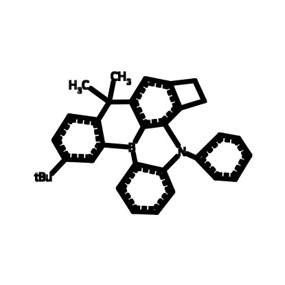 CC(C)(C)c1ccc2c(c1)B1c3ccccc3N(c3ccccc3)c3c4c(cc(c31)C2(C)C)CC4